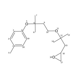 Cc1ccc(OC(C)(C)CCOC(C)(C)CC2CO2)cc1